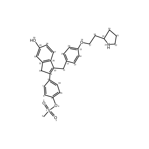 CS(=O)(=O)Oc1ccc(C2=C(Cc3ccc(OCCC4CCCN4)cc3)c3ccc(O)cc3C2)cc1